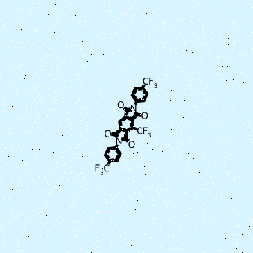 O=c1c2cc3c(=O)n(-c4ccc(C(F)(F)F)cc4)c(=O)c3c(C(F)(F)F)c2c(=O)n1-c1ccc(C(F)(F)F)cc1